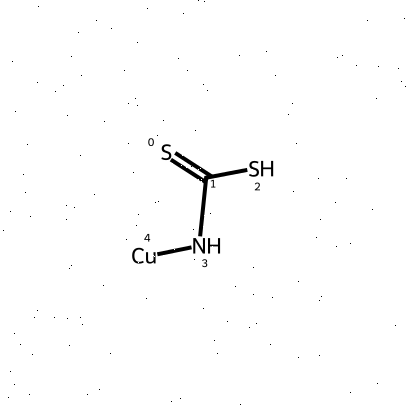 S=C(S)[NH][Cu]